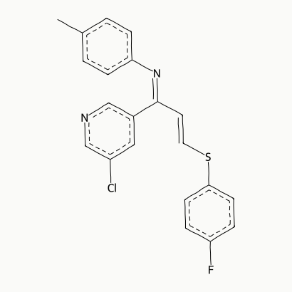 Cc1ccc(N=C(C=CSc2ccc(F)cc2)c2cncc(Cl)c2)cc1